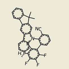 CC1(C)c2ccccc2-c2cc3c4ccccc4n(-c4c(C#N)cccc4-c4c(F)c(F)c(F)c(P)c4F)c3cc21